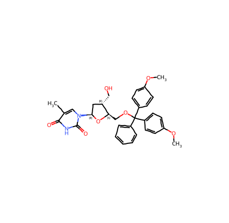 COc1ccc(C(OC[C@H]2O[C@@H](n3cc(C)c(=O)[nH]c3=O)C[C@@H]2CO)(c2ccccc2)c2ccc(OC)cc2)cc1